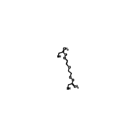 C=C(CS)OOCCOCCOOC(=C)CS